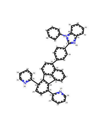 c1ccc(-n2c(-c3ccc(-c4ccc5c6c(cccc46)-c4c(-c6ccccn6)ccc(-c6ccccn6)c4-5)cc3)nc3ccccc32)cc1